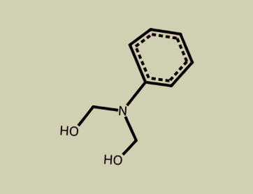 OCN(CO)c1ccccc1